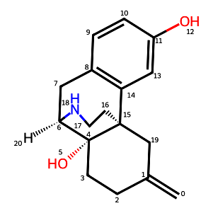 C=C1CC[C@@]2(O)[C@H]3Cc4ccc(O)cc4[C@@]2(CCN3)C1